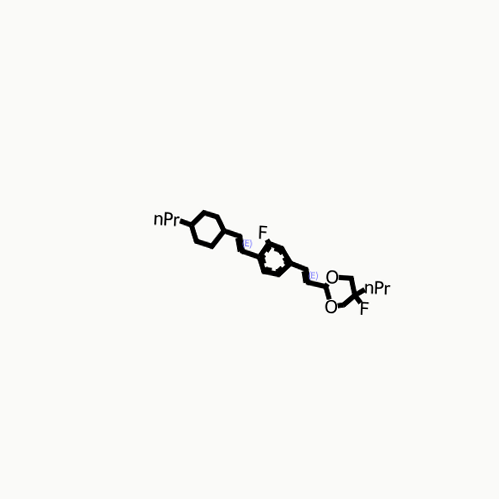 CCCC1CCC(/C=C/c2ccc(/C=C/C3OCC(F)(CCC)CO3)cc2F)CC1